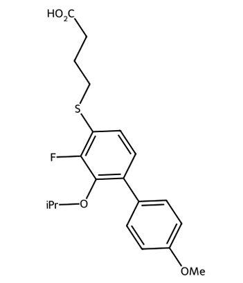 COc1ccc(-c2ccc(SCCCC(=O)O)c(F)c2OC(C)C)cc1